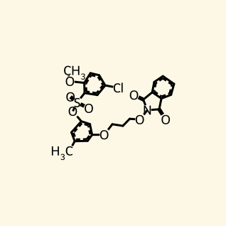 COc1ccc(Cl)cc1S(=O)(=O)Oc1cc(C)cc(OCCCON2C(=O)c3ccccc3C2=O)c1